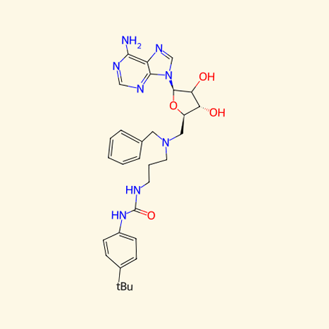 CC(C)(C)c1ccc(NC(=O)NCCCN(Cc2ccccc2)C[C@H]2O[C@@H](n3cnc4c(N)ncnc43)C(O)[C@@H]2O)cc1